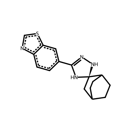 c1nc2ccc(C3=NN[C@@]4(CC5CCC4CC5)N3)cc2s1